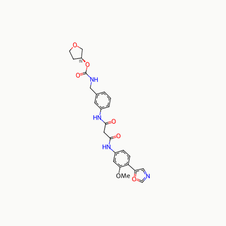 COc1cc(NC(=O)CC(=O)Nc2cccc(CNC(=O)O[C@H]3CCOC3)c2)ccc1-c1cnco1